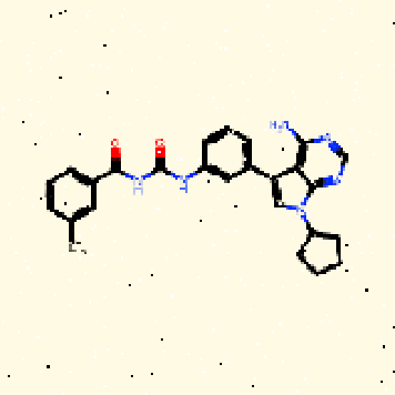 Nc1ncnc2c1c(-c1cccc(NC(=O)NC(=O)c3cccc(C(F)(F)F)c3)c1)cn2C1CCCC1